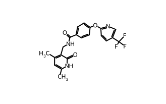 Cc1cc(C)c(CNC(=O)c2ccc(Oc3ccc(C(F)(F)F)cn3)cc2)c(=O)[nH]1